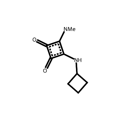 CNc1c(NC2CCC2)c(=O)c1=O